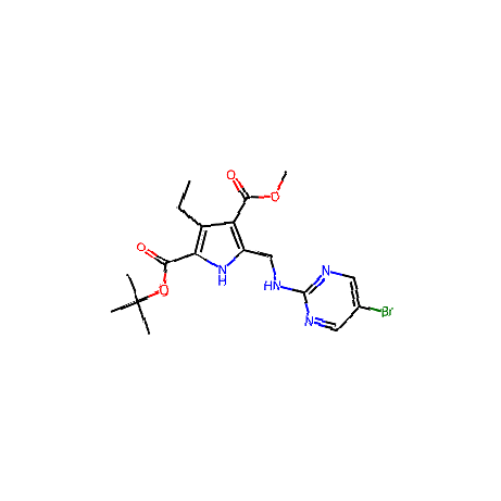 CCc1c(C(=O)OC(C)(C)C)[nH]c(CNc2ncc(Br)cn2)c1C(=O)OC